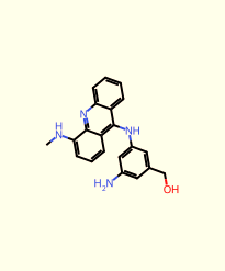 CNc1cccc2c(Nc3cc(N)cc(CO)c3)c3ccccc3nc12